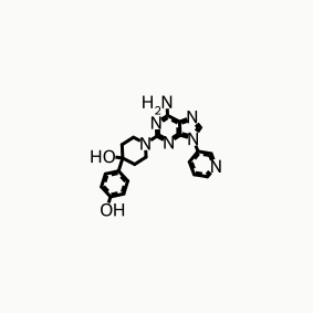 Nc1nc(N2CCC(O)(c3ccc(O)cc3)CC2)nc2c1ncn2-c1cccnc1